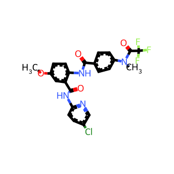 COc1ccc(NC(=O)c2ccc(N(C)C(=O)C(F)(F)F)cc2)c(C(=O)Nc2ccc(Cl)cn2)c1